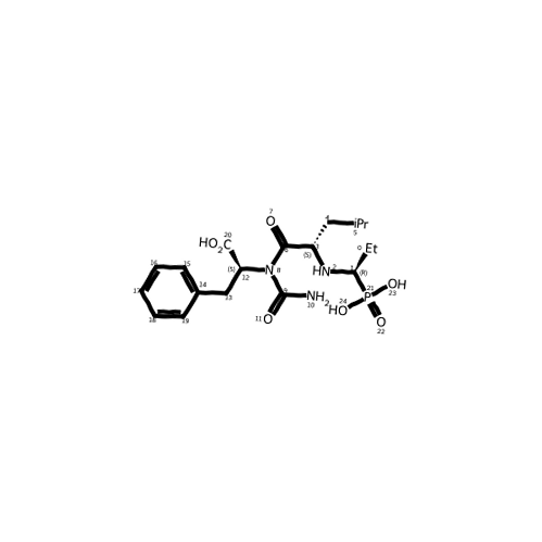 CC[C@H](N[C@@H](CC(C)C)C(=O)N(C(N)=O)[C@@H](Cc1ccccc1)C(=O)O)P(=O)(O)O